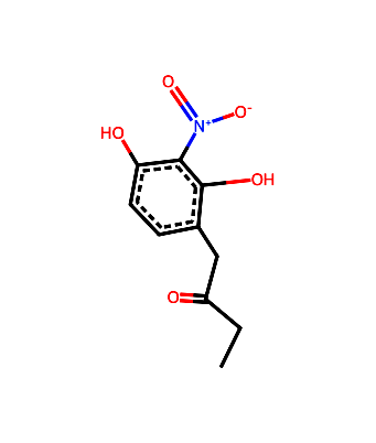 CCC(=O)Cc1ccc(O)c([N+](=O)[O-])c1O